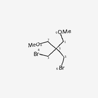 COCC(CBr)(CBr)COC